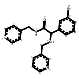 O=C(NCc1ccncc1)C(NCc1cccnc1)c1cccc(Br)c1